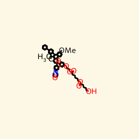 COc1ccc2c3c(c4c(c2c1)-c1ccc(-c2ccccc2)cc1C4(C)C)C=CC(c1ccc(OCCOC(=O)CCCCCOC(=O)CCCCO)cc1)(c1ccc(N2CCOCC2)cc1)O3